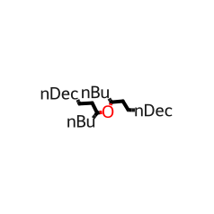 CCCCCCCCCCCCC(CCCC)OC(CCCC)CCCCCCCCCCCC